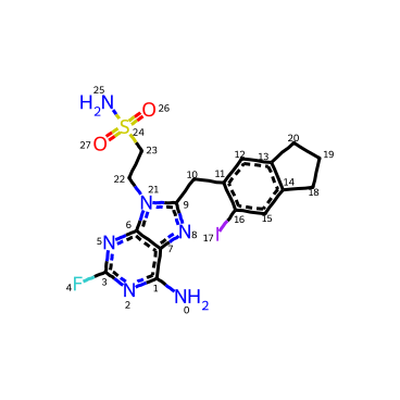 Nc1nc(F)nc2c1nc(Cc1cc3c(cc1I)CCC3)n2CCS(N)(=O)=O